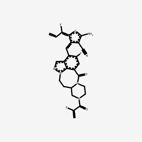 C=C/C(F)=c1/sc(N)c(C#N)/c1=C\c1c(F)cc2c3c1cnn3CCC1CN(C(=O)C(=C)F)CCN1C2=O